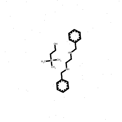 C[N+](C)(C)CCO.c1ccc(CNCCNCc2ccccc2)cc1